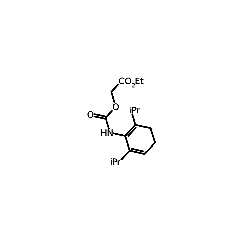 CCOC(=O)COC(=O)NC1=C(C(C)C)CCC=C1C(C)C